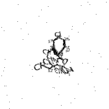 O=C(NC(n1cncn1)C(Cl)(Cl)CCl)c1ccc(Cl)cc1Cl